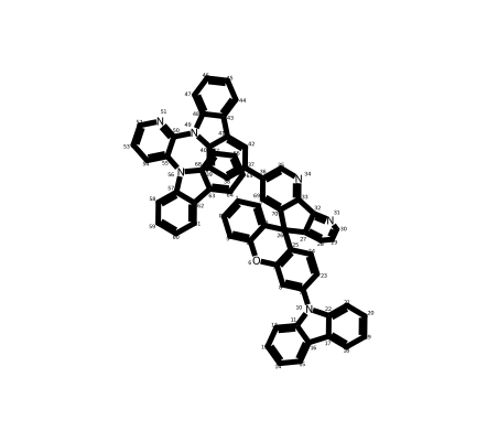 c1ccc2c(c1)Oc1cc(-n3c4ccccc4c4ccccc43)ccc1C21c2cccnc2-c2ncc(-c3ccc4c(c3)c3ccccc3n4-c3ncccc3-n3c4ccccc4c4ccccc43)cc21